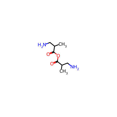 CC(CN)C(=O)OC(=O)C(C)CN